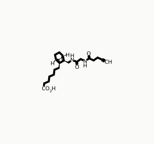 C#CCCC(=O)NCC(=O)NC[C@H]1[C@@H](CCCCCCC(=O)O)[C@H]2CC[C@@H]1O2